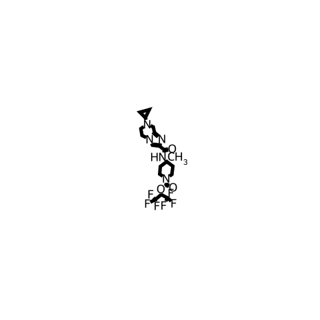 CC1(NC(=O)c2cn3c(n2)CN(C2CC2)CC3)CCN(C(=O)OC(C(F)(F)F)C(F)(F)F)CC1